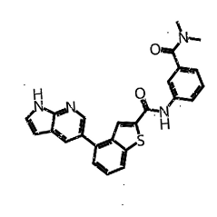 CN(C)C(=O)c1cccc(NC(=O)c2cc3c(-c4cnc5[nH]ccc5c4)cccc3s2)c1